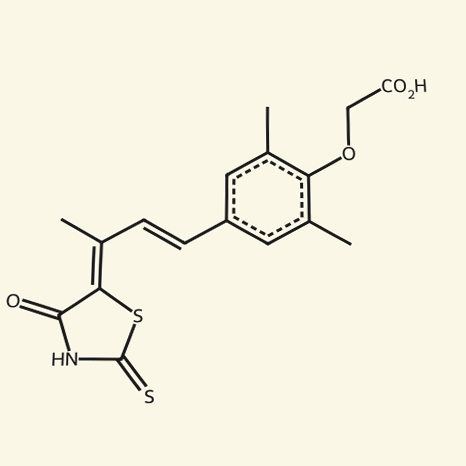 CC(C=Cc1cc(C)c(OCC(=O)O)c(C)c1)=C1SC(=S)NC1=O